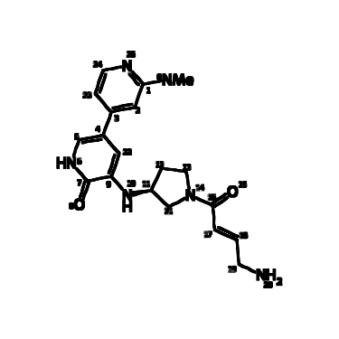 CNc1cc(-c2c[nH]c(=O)c(N[C@H]3CCN(C(=O)/C=C/CN)C3)c2)ccn1